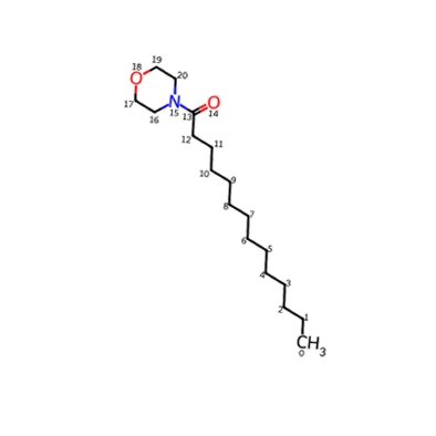 CCCCCCCCCCCCCC(=O)N1CCOCC1